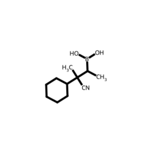 CC(B(O)O)C(C)(C#N)C1CCCCC1